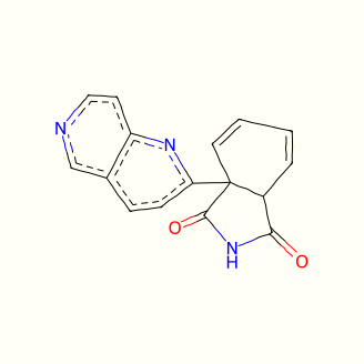 O=C1NC(=O)C2(c3ccc4cnccc4n3)C=CC=CC12